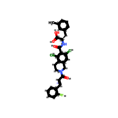 Cc1cccc(C[C@H](NC(=O)c2c(Cl)cc3c(c2Cl)CCN(C(=O)/C=C/c2ccccc2F)C3)C(=O)O)c1